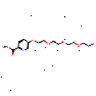 COC(=O)c1ccc(OCCOCCOCCOCCI)cn1